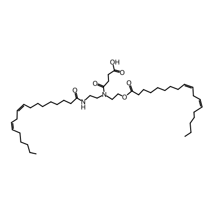 CCCCC/C=C\C/C=C\CCCCCCCC(=O)NCCN(CCOC(=O)CCCCCCC/C=C\C/C=C\CCCCC)C(=O)CCC(=O)O